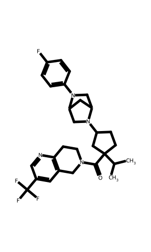 CC(C)C1(C(=O)N2CCc3ncc(C(F)(F)F)cc3C2)CCC(N2CC3CC2CN3c2ccc(F)cc2)C1